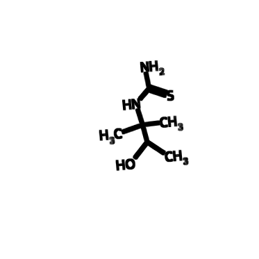 CC(O)C(C)(C)NC(N)=S